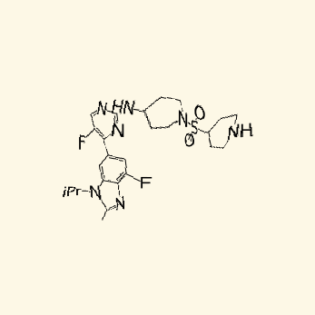 Cc1nc2c(F)cc(-c3nc(NC4CCN(S(=O)(=O)C5CCNCC5)CC4)ncc3F)cc2n1C(C)C